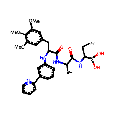 COc1cc(CC(Nc2cccc(-c3ccccn3)c2)C(=O)NC(C(=O)NC(CC(C)C)B(O)O)C(C)C)cc(OC)c1OC